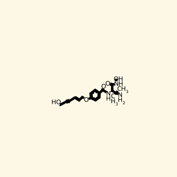 CC(C)(N)[C@H](NC(=O)c1ccc(OC/C=C/C#CCO)cc1)C(=O)NO